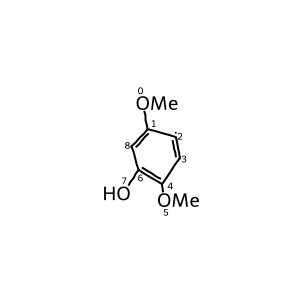 COc1[c]cc(OC)c(O)c1